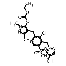 CCOC(=O)Oc1c(Cc2ccc(S(C)(=O)=O)c(Cn3cc(C)cn3)c2Cl)c(C)nn1C